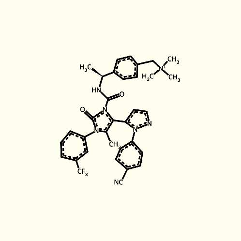 Cc1c(-c2ccnn2-c2ccc(C#N)cc2)n(C(=O)N[C@@H](C)c2ccc(C[N+](C)(C)C)cc2)c(=O)n1-c1cccc(C(F)(F)F)c1